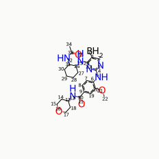 Bc1cnc(Nc2ccc(C(=O)NC3CCOCC3)cc2OC)nc1N[C@@H]1CCCC[C@H]1NC(C)=O